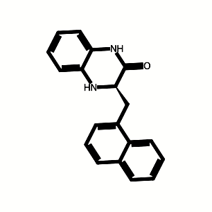 O=C1Nc2ccccc2N[C@@H]1Cc1cccc2ccccc12